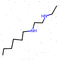 [CH2]CNCCNCCCCCC